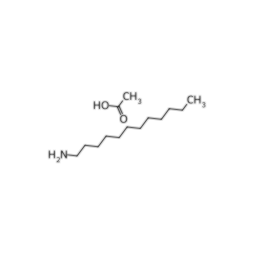 CC(=O)O.CCCCCCCCCCCCN